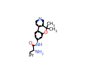 CC(C)C[C@@H](N)C(=O)Nc1ccc2c(c1)OC(C)(C)c1cnccc1-2